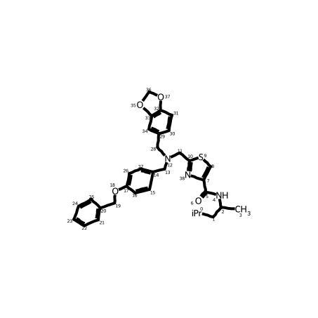 CC(C)CC(C)NC(=O)c1csc(CN(Cc2ccc(OCc3ccccc3)cc2)Cc2ccc3c(c2)OCO3)n1